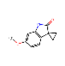 O=C1Nc2cc(OC(F)(F)F)ccc2C12CC2